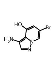 Nc1cnn2cc(Br)cc(O)c12